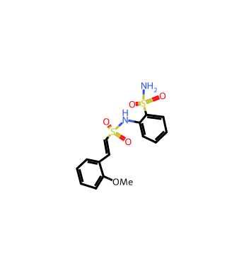 COc1ccccc1C=CS(=O)(=O)Nc1ccccc1S(N)(=O)=O